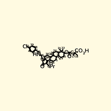 CC(C)C1=C2[C@H]3CCC4[C@@]5(C)CC[C@H](OC(=O)CC(C)(C)C(=O)O)C(C)(C)C5CC[C@@]4(C)[C@]3(C)CC[C@@]2(CCNCc2ccc(Cl)cc2)CC1=O